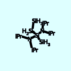 CC(C)N(C(C)C)[Si]([SiH3])([SiH2][SiH3])N(C(C)C)C(C)C